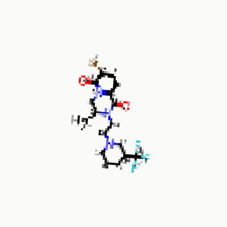 CC1Cn2c(ccc(Br)c2=O)C(=O)N1CCN1CCCC(C(F)(F)F)C1